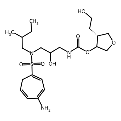 CCC(C)CN(CC(O)CNC(=O)OC1COC[C@H]1CCO)S(=O)(=O)C1=CC=C(N)C=CC1